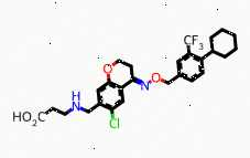 O=C(O)CCNCc1cc2c(cc1Cl)/C(=N/OCc1ccc(C3CCCCC3)c(C(F)(F)F)c1)CCO2